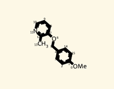 COc1ccc(COc2cccnc2C)cc1